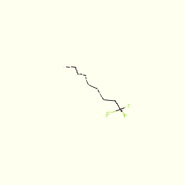 [CH2]CCCCCCCC(F)(F)F